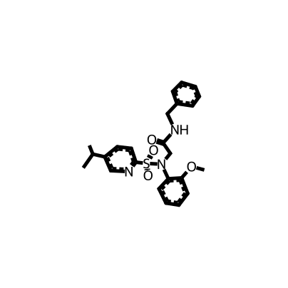 COc1ccccc1N(CC(=O)NCc1ccccc1)S(=O)(=O)c1ccc(C(C)C)cn1